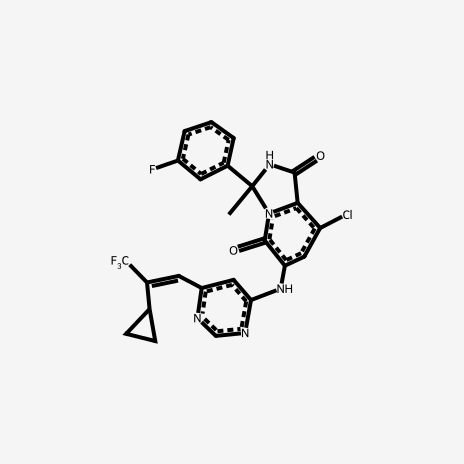 CC1(c2cccc(F)c2)NC(=O)c2c(Cl)cc(Nc3cc(C=C(C4CC4)C(F)(F)F)ncn3)c(=O)n21